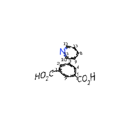 O=C(O)c1cccc(C(=O)O)c1.c1ccncc1